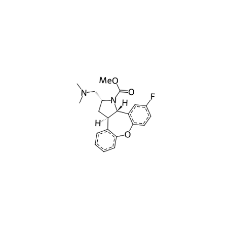 COC(=O)N1[C@@H](CN(C)C)C[C@@H]2c3ccccc3Oc3ccc(F)cc3[C@H]21